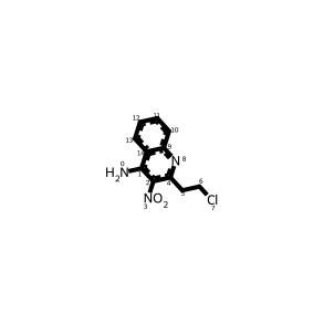 Nc1c([N+](=O)[O-])c(CCCl)nc2ccccc12